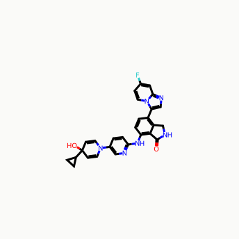 O=C1NCc2c(-c3cnc4cc(F)ccn34)ccc(Nc3ccc(N4C=CC(O)(C5CC5)C=C4)cn3)c21